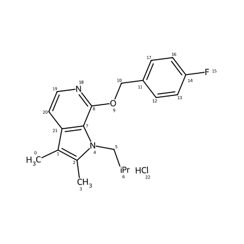 Cc1c(C)n(CC(C)C)c2c(OCc3ccc(F)cc3)nccc12.Cl